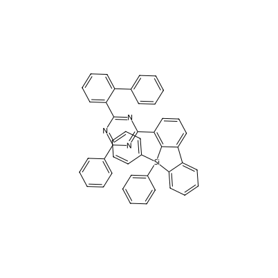 c1ccc(-c2nc(-c3ccccc3-c3ccccc3)nc(-c3cccc4c3[Si](c3ccccc3)(c3ccccc3)c3ccccc3-4)n2)cc1